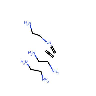 C=C.C=C.NCCN.NCCN.NCCN